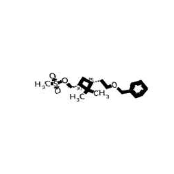 CC1(C)[C@H](COS(C)(=O)=O)C[C@@H]1CCOCc1ccccc1